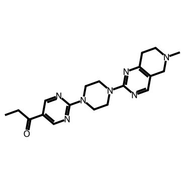 CCC(=O)c1cnc(N2CCN(c3ncc4c(n3)CCN(C)C4)CC2)nc1